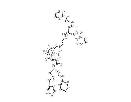 CC(CN(CCCNC(=O)OC(COCc1ccccc1)COCc1ccccc1)CCCNC(=O)OC(COCc1ccccc1)COCc1ccccc1)OC(=O)C(C)(C)Br